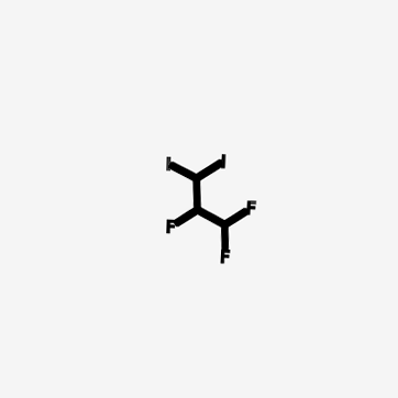 FC(F)C(F)C(I)I